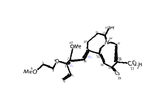 C=C/C(OCCOC)=C(\C=C1/CCC(C(C)C)n2cc(C(=O)O)c(=O)cc21)OC